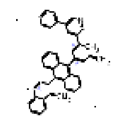 C=C/C=C(\C=C(/C)c1cncc(-c2ccccc2)c1)c1c2ccccc2c(C/C=C\c2ccccc2C=C)c2ccccc12